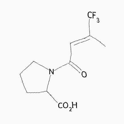 C/C(=C\C(=O)N1CCCC1C(=O)O)C(F)(F)F